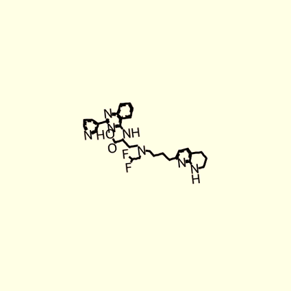 O=C(O)C(CCN(CCCCc1ccc2c(n1)NCCC2)CC(F)F)Nc1nc(-c2cccnc2)nc2ccccc12